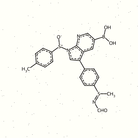 Cc1ccc([S+]([O-])n2cc(-c3ccc(/S(C)=N/C=O)cc3)c3cc(B(O)O)cnc32)cc1